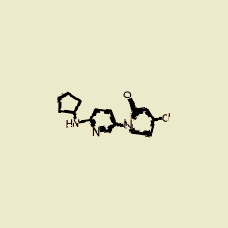 O=c1cc(Cl)ccn1-c1ccc(NC2CCCC2)nc1